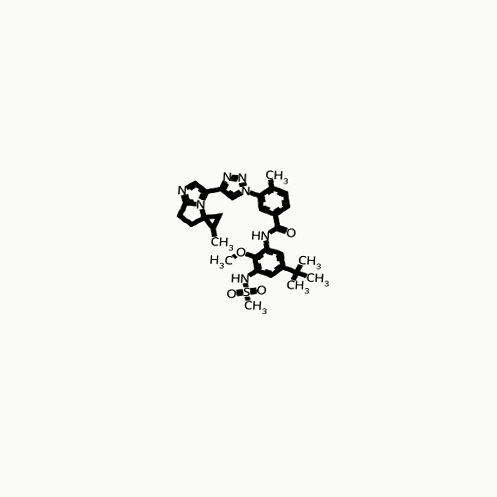 COc1c(NC(=O)c2ccc(C)c(-n3cc(-c4cnc5n4C4(CC5)CC4C)nn3)c2)cc(C(C)(C)C)cc1NS(C)(=O)=O